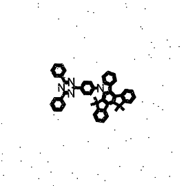 CC1(C)c2ccccc2-c2c1c1c(c3c2c2ccccc2n3-c2ccc(-c3nc(-c4ccccc4)nc(-c4ccccc4)n3)cc2)C(C)(C)c2ccccc2-1